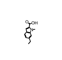 CCc1ccc2cc(C(=O)O)n(C)c2c1